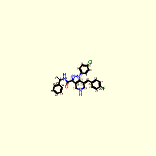 C[C@@H](NC(=O)c1nn(-c2ccc(Cl)cc2)c2c1CNC/C2=C\c1ccc(F)cc1)c1ccccc1